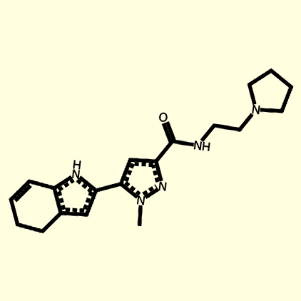 Cn1nc(C(=O)NCCN2CCCC2)cc1-c1cc2c([nH]1)C=CCC2